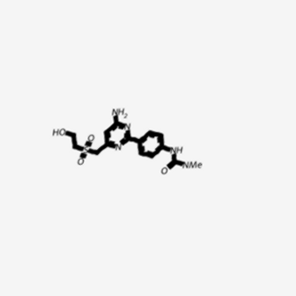 CNC(=O)Nc1ccc(-c2nc(N)cc(CS(=O)(=O)CCO)n2)cc1